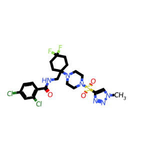 Cn1cc(S(=O)(=O)N2CCN(C3(CNC(=O)c4ccc(Cl)cc4Cl)CCC(F)(F)CC3)CC2)nn1